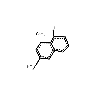 O=C(O)c1ccc2c(Cl)cccc2c1.[GaH3]